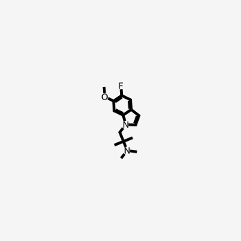 COc1cc2c(ccn2CC(C)(C)N(C)C)cc1F